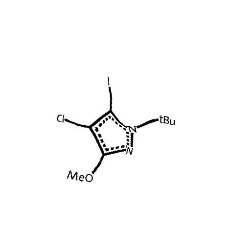 COc1nn(C(C)(C)C)c(I)c1Cl